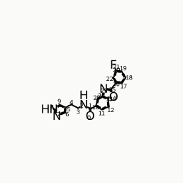 O=C(NCCc1cn[nH]c1)c1ccc2oc(-c3cccc(F)c3)nc2c1